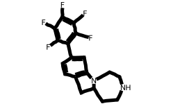 Fc1c(F)c(F)c(-c2ccc3c(c2)N2CCNCCC2C3)c(F)c1F